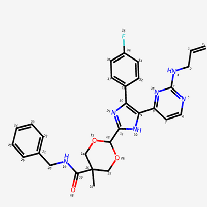 C=CCNc1nccc(-c2[nH]c(C3OCC(C)(C(=O)NCc4ccccc4)CO3)nc2-c2ccc(F)cc2)n1